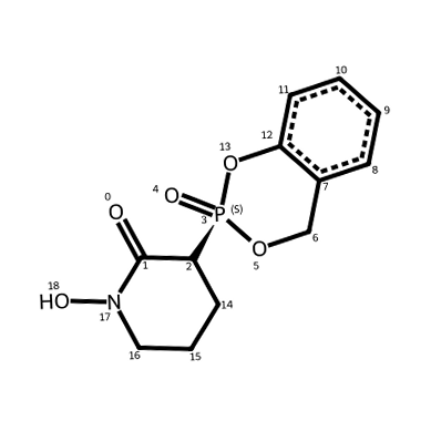 O=C1C([P@]2(=O)OCc3ccccc3O2)CCCN1O